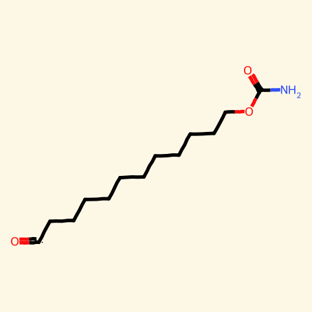 NC(=O)OCCCCCCCCCCC[C]=O